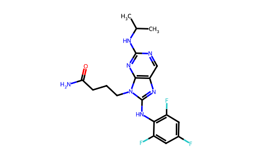 CC(C)Nc1ncc2nc(Nc3c(F)cc(F)cc3F)n(CCCC(N)=O)c2n1